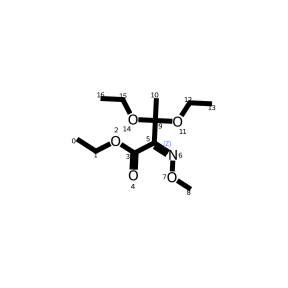 CCOC(=O)/C(=N\OC)C(C)(OCC)OCC